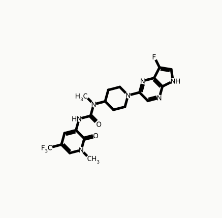 CN(C(=O)Nc1cc(C(F)(F)F)cn(C)c1=O)C1CCN(c2cnc3[nH]cc(F)c3n2)CC1